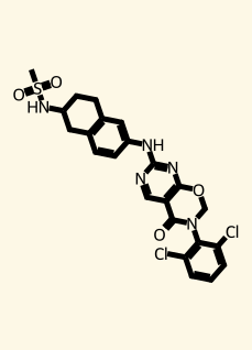 CS(=O)(=O)NC1CCc2cc(Nc3ncc4c(n3)OCN(c3c(Cl)cccc3Cl)C4=O)ccc2C1